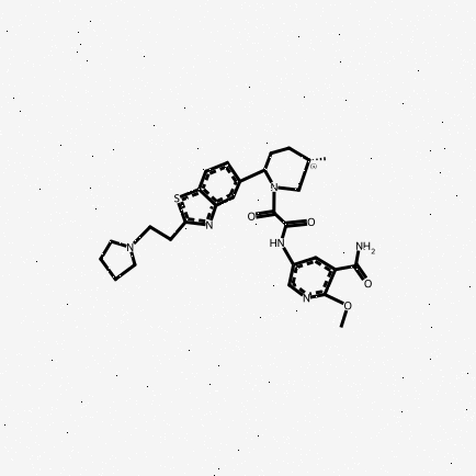 COc1ncc(NC(=O)C(=O)N2C[C@@H](C)CCC2c2ccc3sc(CCN4CCCC4)nc3c2)cc1C(N)=O